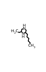 [CH2]CC1CNCC(CCCCCC)N1